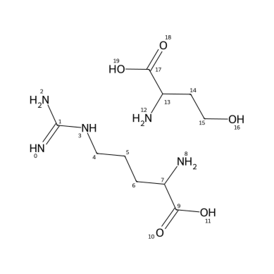 N=C(N)NCCCC(N)C(=O)O.NC(CCO)C(=O)O